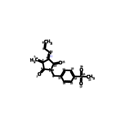 C=C/N=C1\C(=C)C(=O)N(Cc2ccc(S(C)(=O)=O)cc2)C1=O